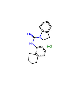 Cl.N=C(Nc1cccc2c1CCCC2)N1CCc2ccccc21